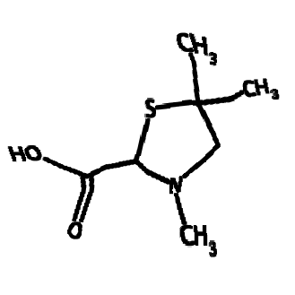 CN1CC(C)(C)SC1C(=O)O